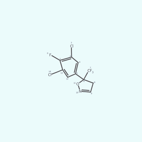 Fc1c(Cl)cc(C2(C(F)(F)F)CC=NO2)cc1Cl